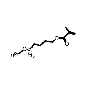 C=C(C)C(=O)OCCCC[SiH2]OCCC